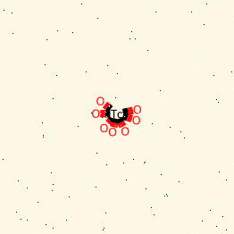 [O]=[Tc](=[O])(=[O])(=[O])(=[O])(=[O])=[O]